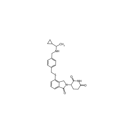 CC(NCc1ccc(CSc2cccc3c2CN(C2CCC(=O)NC2=O)C3=O)cc1)C1CC1